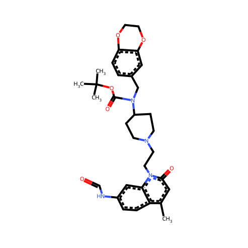 Cc1cc(=O)n(CCN2CCC(N(Cc3ccc4c(c3)OCCO4)C(=O)OC(C)(C)C)CC2)c2cc(NC=O)ccc12